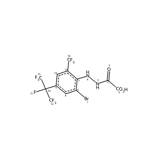 O=C(O)C(=O)NNc1c(Br)cc(C(F)(C(F)(F)F)C(F)(F)F)cc1C(F)(F)F